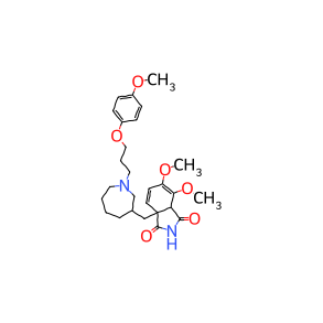 COC1=C(OC)C2C(=O)NC(=O)C2(CC2CCCCN(CCCOc3ccc(OC)cc3)C2)C=C1